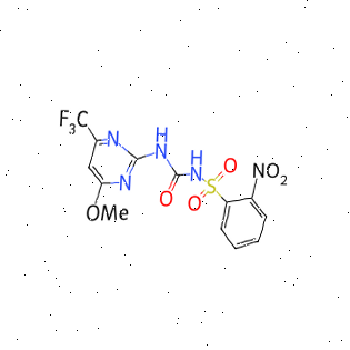 COc1cc(C(F)(F)F)nc(NC(=O)NS(=O)(=O)c2ccccc2[N+](=O)[O-])n1